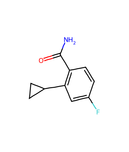 NC(=O)c1ccc(F)cc1C1CC1